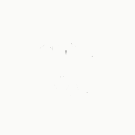 Cc1cc2cc(OCC3SC=CN3C3CCN(CCO)C3=O)ccc2o1